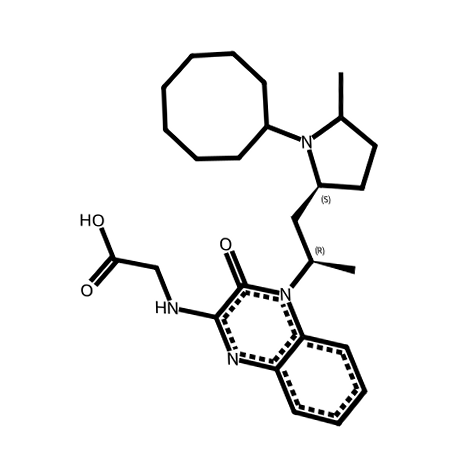 CC1CC[C@@H](C[C@@H](C)n2c(=O)c(NCC(=O)O)nc3ccccc32)N1C1CCCCCCC1